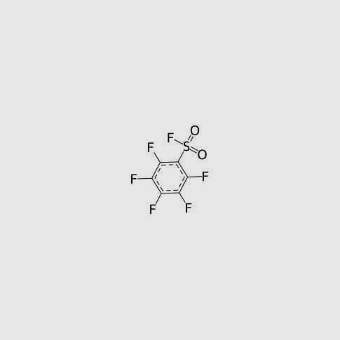 O=S(=O)(F)c1c(F)c(F)c(F)c(F)c1F